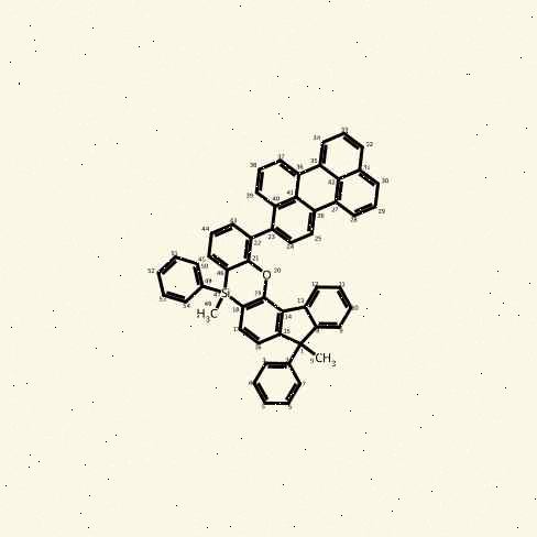 CC1(c2ccccc2)c2ccccc2-c2c1ccc1c2Oc2c(-c3ccc4c5cccc6cccc(c7cccc3c74)c65)cccc2[Si]1(C)c1ccccc1